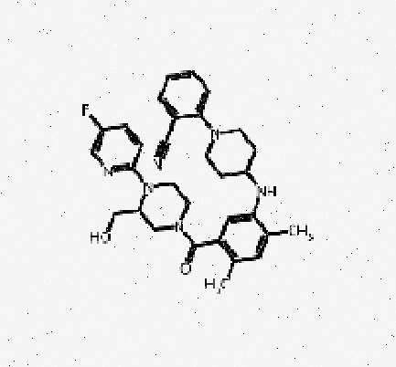 Cc1cc(C)c(C(=O)N2CCN(c3ccc(F)cn3)C(CO)C2)cc1NC1CCN(c2ccccc2C#N)CC1